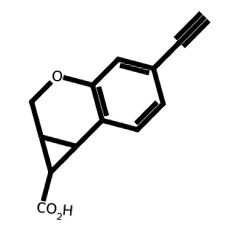 C#Cc1ccc2c(c1)OCC1C(C(=O)O)C21